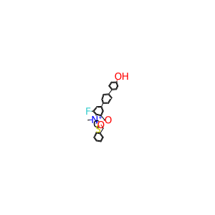 C[N+](=C=S)c1c(F)cc(-c2ccc(-c3ccc(O)cc3)cc2)cc1C(=O)OCc1ccccc1